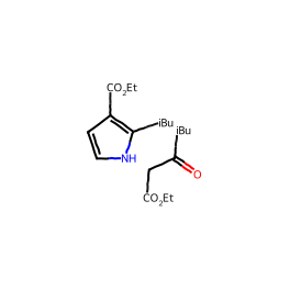 CCOC(=O)CC(=O)C(C)CC.CCOC(=O)c1cc[nH]c1C(C)CC